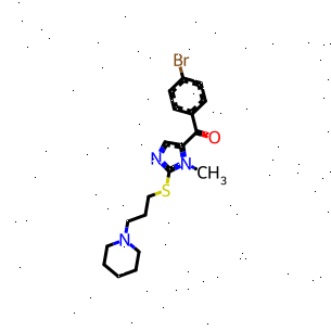 Cn1c(C(=O)c2ccc(Br)cc2)cnc1SCCCN1CCCCC1